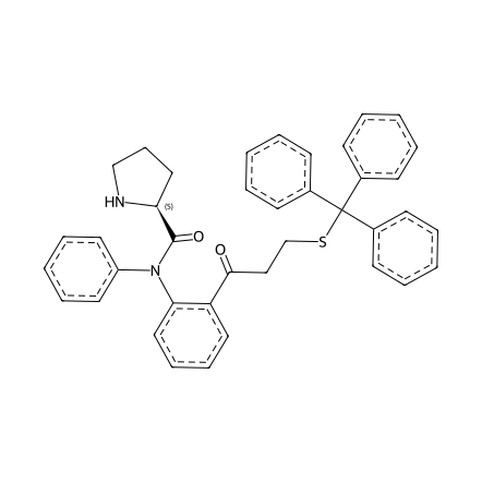 O=C(CCSC(c1ccccc1)(c1ccccc1)c1ccccc1)c1ccccc1N(C(=O)[C@@H]1CCCN1)c1ccccc1